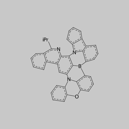 CC(C)c1nc2c3c4c(cc2c2ccccc12)N1c2ccccc2Oc2cccc(c21)B4c1cccc2c4ccccc4n-3c12